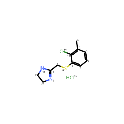 Cc1cccc(SCC2=NCCN2)c1Cl.Cl